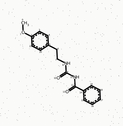 COc1ccc(CCNC(=O)NC(=O)c2ccccc2)cc1